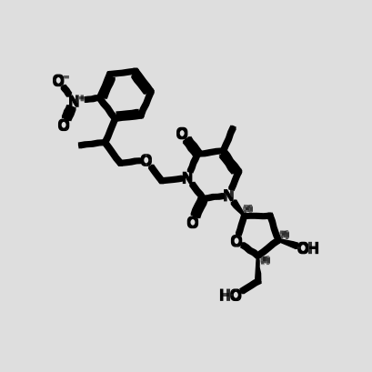 Cc1cn([C@H]2C[C@@H](O)[C@@H](CO)O2)c(=O)n(COCC(C)c2ccccc2[N+](=O)[O-])c1=O